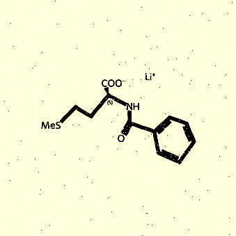 CSCC[C@H](NC(=O)c1ccccc1)C(=O)[O-].[Li+]